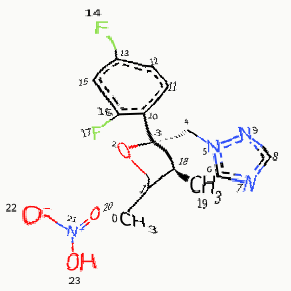 CC1O[C@@](Cn2cncn2)(c2ccc(F)cc2F)[C@H]1C.O=[N+]([O-])O